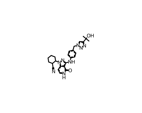 CC(C)(O)c1cn(Cc2ccc(Nc3nn(C4CCCCC4C#N)c4cc[nH]c(=O)c34)cc2)nn1